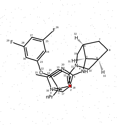 CCCn1nc(N[C@H]2[C@@H]3CC[C@H]2CN(c2cc(C)ncn2)C3)nc1Oc1cc(F)cc(F)c1